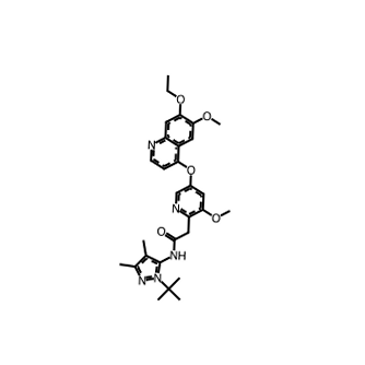 CCOc1cc2nccc(Oc3cnc(CC(=O)Nc4c(C)c(C)nn4C(C)(C)C)c(OC)c3)c2cc1OC